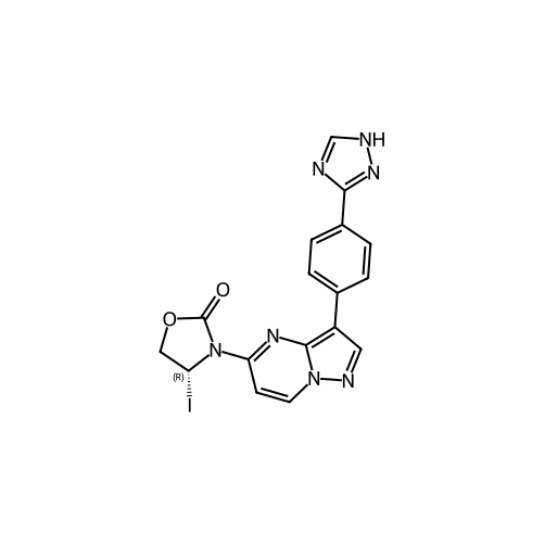 O=C1OC[C@@H](I)N1c1ccn2ncc(-c3ccc(-c4nc[nH]n4)cc3)c2n1